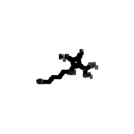 CC1C(=S)C(N(C)C)=C1NCCCCC(C)(C)C